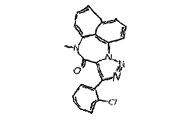 Cn1c(=O)c2c(-c3ccccc3Cl)nnn2c2cccc3cccc1c32